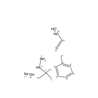 CC(C)(C)NN.Cc1ccccc1.Cl.O=CO.[Na+].[OH-]